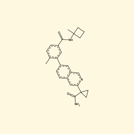 Cc1ccc(C(=O)NC2(C)CCC2)cc1-c1ccc2cc(C3(C(N)=O)CC3)ncc2c1